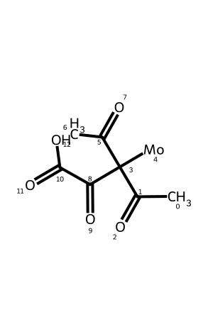 CC(=O)[C]([Mo])(C(C)=O)C(=O)C(=O)O